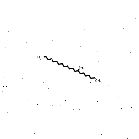 CCCCCCCCCCCCCC(P)CCCCCCC